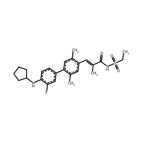 CCS(=O)(=O)NC(=O)/C(C)=C/c1cc(C)c(-c2ccc(NC3CCCC3)c(F)c2)cc1C